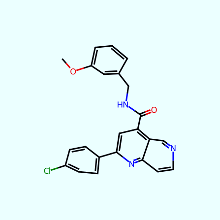 COc1cccc(CNC(=O)c2cc(-c3ccc(Cl)cc3)nc3ccncc23)c1